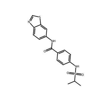 CC(C)S(=O)(=O)Nc1ccc(C(=O)Nc2ccc3ncsc3c2)cc1